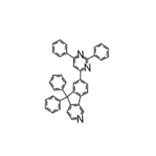 c1ccc(-c2cc(-c3ccc4c(c3)C(c3ccccc3)(c3ccccc3)c3ccncc3-4)nc(-c3ccccc3)n2)cc1